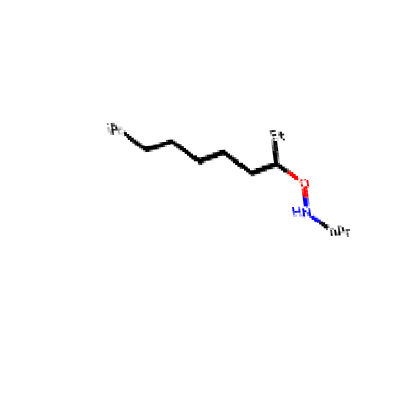 CCCNOC(CC)CCCCCC(C)C